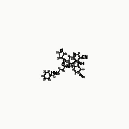 C#Cc1cccc(Nc2c(C#N)cnc3cc(O[C@H]4CCOC4)c(NC(=O)C=CCNCc4ccccc4)cc23)c1